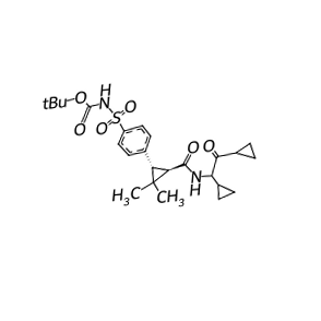 CC(C)(C)OC(=O)NS(=O)(=O)c1ccc([C@@H]2[C@@H](C(=O)NC(C(=O)C3CC3)C3CC3)C2(C)C)cc1